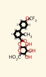 Cc1c(C(=O)OC2O[C@H](C(=O)O)[C@@H](O)[C@H](O)C2O)cccc1-c1ccc(OC(F)(F)F)cc1